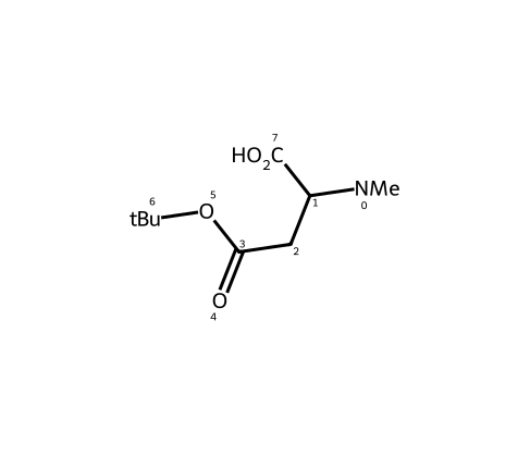 CNC(CC(=O)OC(C)(C)C)C(=O)O